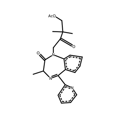 CC(=O)OCC(C)(C)C(=O)CN1C(=O)C(C)N=C(c2ccccn2)c2ccccc21